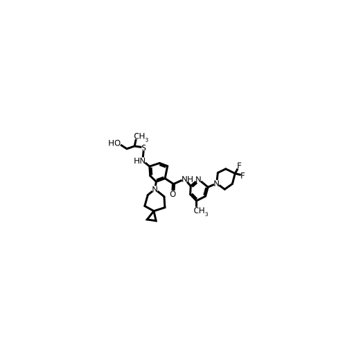 Cc1cc(NC(=O)c2ccc(NSC(C)CO)cc2N2CCC3(CC2)CC3)nc(N2CCC(F)(F)CC2)c1